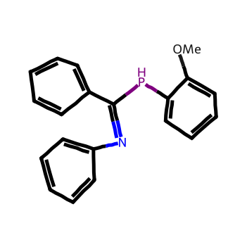 COc1ccccc1PC(=Nc1ccccc1)c1ccccc1